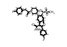 CNC(=O)c1c(-c2ccc(F)cc2)oc2cc(N(C)S(C)(=O)=O)c([C@@H]3CCCN(C(=O)Cc4ccc(F)cn4)C3)cc12